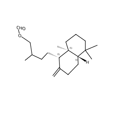 C=C1CC[C@H]2C(C)(C)CCC[C@]2(C)[C@H]1CCC(C)COC=O